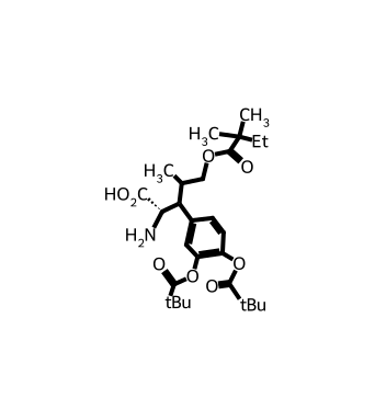 CCC(C)(C)C(=O)OCC(C)C(c1ccc(OC(=O)C(C)(C)C)c(OC(=O)C(C)(C)C)c1)[C@H](N)C(=O)O